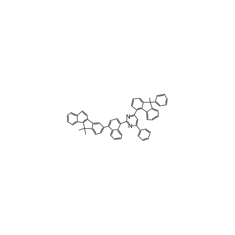 CC1(C)c2ccc(-c3ccc(-c4nc(-c5ccccc5)cc(-c5cccc6c5-c5ccccc5C6(C)c5ccccc5)n4)c4ccccc34)cc2-c2ccc3ccccc3c21